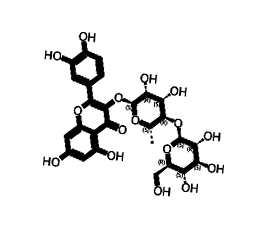 C[C@@H]1O[C@@H](Oc2c(-c3ccc(O)c(O)c3)oc3cc(O)cc(O)c3c2=O)[C@H](O)[C@H](O)[C@H]1O[C@@H]1O[C@H](CO)[C@@H](O)[C@H](O)[C@H]1O